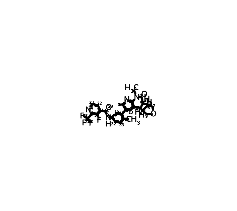 CCN1C(=O)[C@@H]2[C@H]3COC[C@H]3[C@@H]2c2cc(-c3cc(NC(=O)c4ccnc(C(F)(F)F)c4F)ccc3C)cnc21